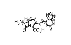 Cc1cc(SCC2=C(C(=O)O)N3C(=O)C(N)[C@H]3SC2)n2nnnc2n1